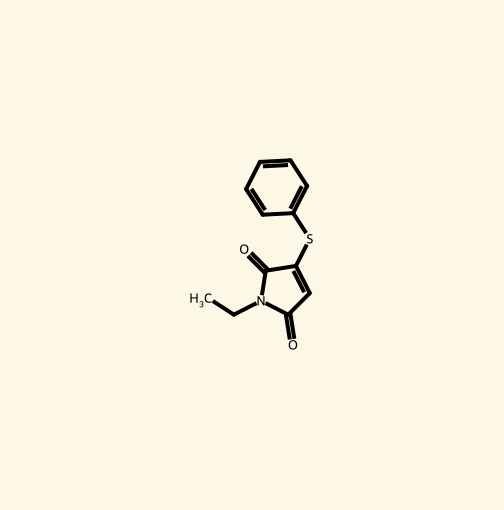 CCN1C(=O)C=C(Sc2ccccc2)C1=O